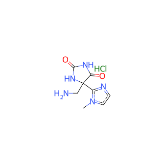 Cl.Cn1ccnc1C1(CN)NC(=O)NC1=O